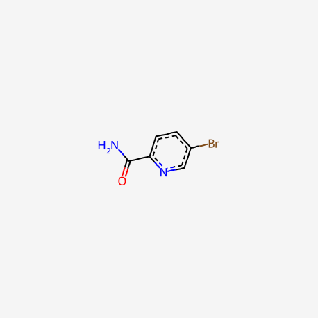 NC(=O)c1ccc(Br)cn1